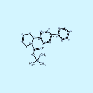 CC(C)(C)OC(=O)N1CC=CCC1c1ccc(-c2ccccc2)nc1